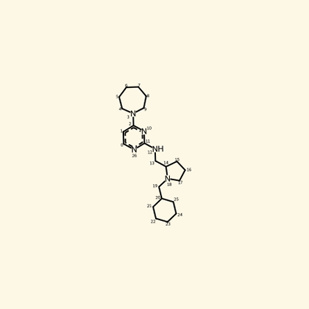 c1cc(N2CCCCCC2)nc(NCC2CCCN2CC2CCCCC2)n1